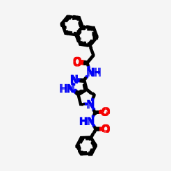 O=C(Cc1ccc2ccccc2c1)Nc1n[nH]c2c1CN(C(=O)NC(=O)c1ccccc1)C2